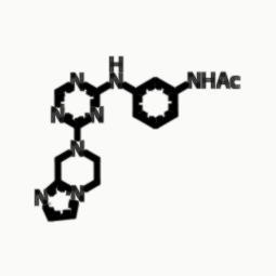 CC(=O)Nc1cccc(Nc2ncnc(N3CCn4ccnc4C3)n2)c1